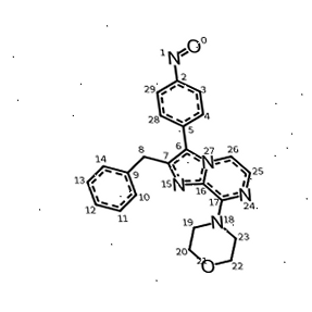 O=Nc1ccc(-c2c(Cc3ccccc3)nc3c(N4CCOCC4)nccn23)cc1